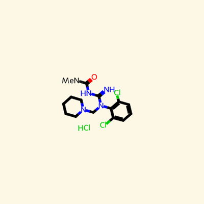 CNC(=O)NC(=N)N(CN1CCCCC1)c1c(Cl)cccc1Cl.Cl